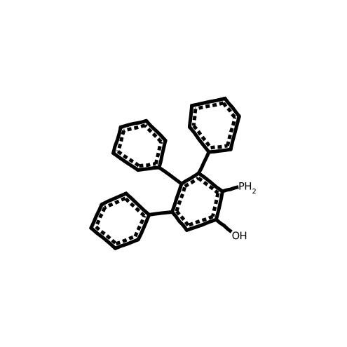 Oc1cc(-c2ccccc2)c(-c2ccccc2)c(-c2ccccc2)c1P